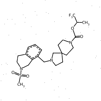 CC(OC(=O)N1CCC2(CCN(Cc3cccc4c3CN(S(C)(=O)=O)CC4)C2)CC1)C(F)(F)F